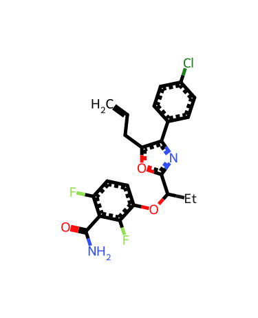 C=CCc1oc(C(CC)Oc2ccc(F)c(C(N)=O)c2F)nc1-c1ccc(Cl)cc1